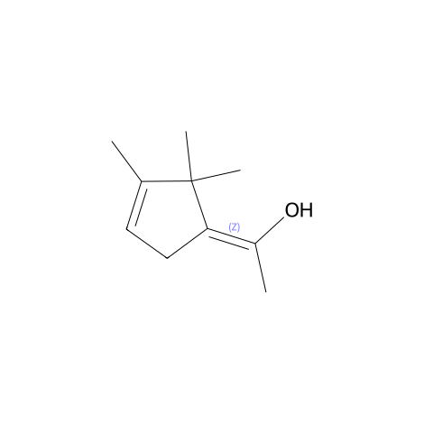 CC1=CC/C(=C(\C)O)C1(C)C